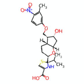 Cc1cc(OC[C@@H]2[C@H]3CC[C@H](C4(C(C)C)NC(C(=O)O)=CS4)O[C@H]3C[C@H]2O)ccc1[N+](=O)[O-]